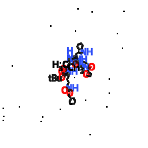 CC(C)(C)OC(=O)[C@@H](CCCCNC(=O)OCc1ccccc1)NC(=O)C(C)(C)c1c[nH]c([C@@H](Cc2c[nH]c3ccccc23)NC(=O)N2CCN(C(=O)c3ccco3)CC2)n1